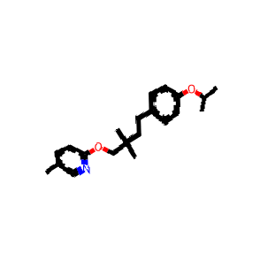 Cc1ccc(OCC(C)(C)CCc2ccc(OC(C)C)cc2)nc1